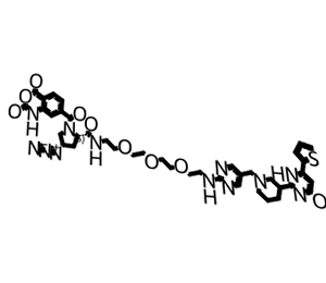 [N-]=[N+]=NC1C[C@@H](C(=O)NCCOCCOCCOCCNc2ncc(CN3CCCC(c4nc(=O)cc(-c5cccs5)[nH]4)C3)cn2)N(C(=O)c2ccc3c(=O)oc(=O)[nH]c3c2)C1